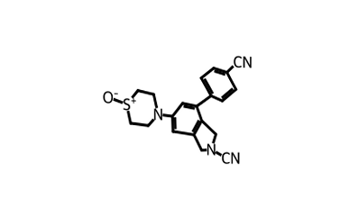 N#Cc1ccc(-c2cc(N3CC[S+]([O-])CC3)cc3c2CN(C#N)C3)cc1